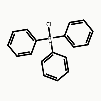 [Cl][BiH]([c]1ccccc1)([c]1ccccc1)[c]1ccccc1